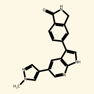 Cn1cc(-c2cnc3[nH]cc(-c4ccc5c(c4)CNC5=O)c3c2)cn1